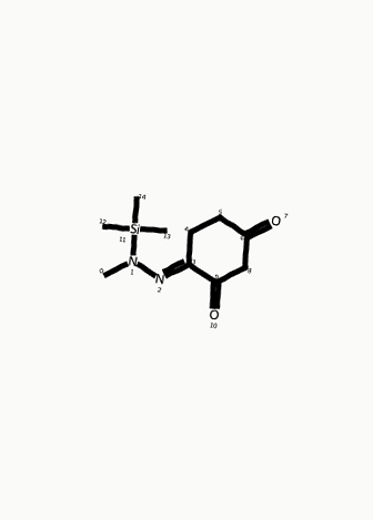 CN(N=C1CCC(=O)CC1=O)[Si](C)(C)C